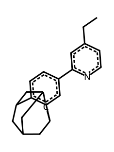 CCc1ccnc(-c2ccc3c(c2)C2CC4CC(CC3C4)C2)c1